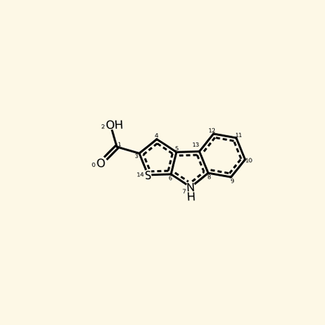 O=C(O)c1cc2c([nH]c3ccccc32)s1